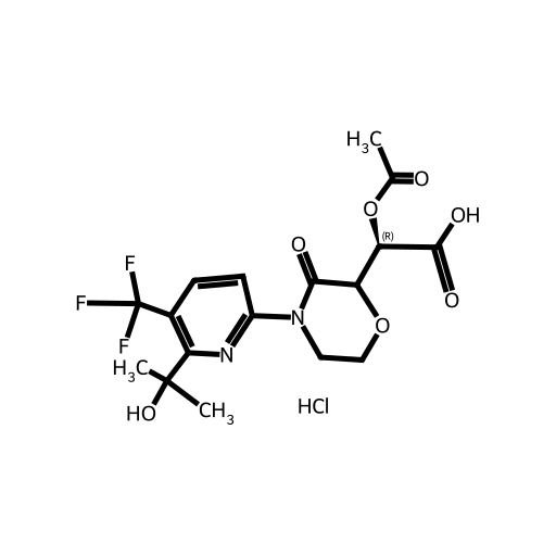 CC(=O)O[C@@H](C(=O)O)C1OCCN(c2ccc(C(F)(F)F)c(C(C)(C)O)n2)C1=O.Cl